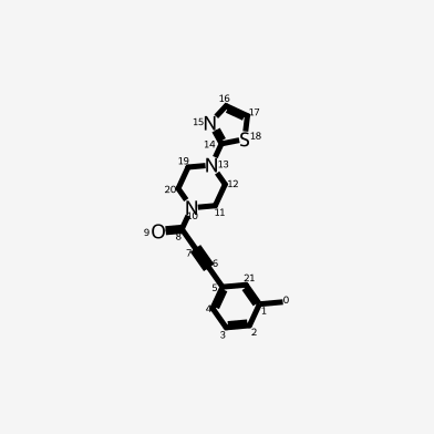 Cc1cccc(C#CC(=O)N2CCN(c3nccs3)CC2)c1